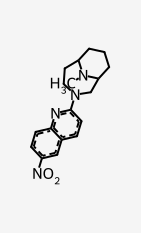 CN1C2CCCC1CN(c1ccc3cc([N+](=O)[O-])ccc3n1)CC2